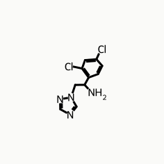 NC(Cn1cncn1)c1ccc(Cl)cc1Cl